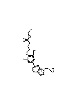 CCOC(=O)CCCOc1c(F)cc(-c2ccc3ccn(CC4CC4)c3c2)cc1F